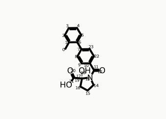 Cc1ccccc1-c1ccc(C(=O)N2CCC[C@@]2(O)C(=O)O)cc1